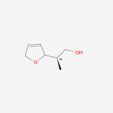 C[C@H](CO)C1C=CCO1